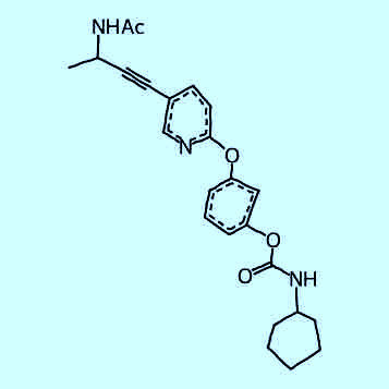 CC(=O)NC(C)C#Cc1ccc(Oc2cccc(OC(=O)NC3CCCCC3)c2)nc1